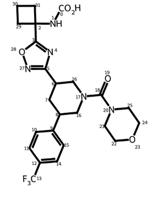 O=C(O)NC1(c2nc(C3CC(c4ccc(C(F)(F)F)cc4)CN(C(=O)N4CCOCC4)C3)no2)CCC1